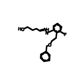 OCCCC=NNc1cccc(F)c1CCOCc1ccccc1